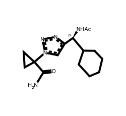 CC(=O)N[C@H](c1cn(C2(C(N)=O)CC2)nn1)C1CCCCC1